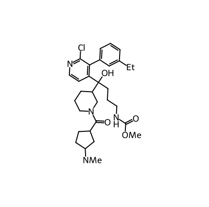 CCc1cccc(-c2c(C(O)(CCCNC(=O)OC)C3CCCN(C(=O)C4CCC(NC)C4)C3)ccnc2Cl)c1